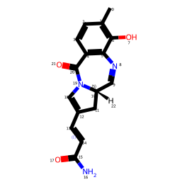 Cc1ccc2c(c1O)N=C[C@@H]1CC(/C=C/C(N)=O)=CN1C2=O